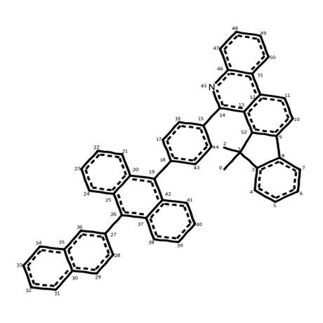 CC1(C)c2ccccc2-c2ccc3c(c(-c4ccc(-c5c6ccccc6c(-c6ccc7ccccc7c6)c6ccccc56)cc4)nc4ccccc43)c21